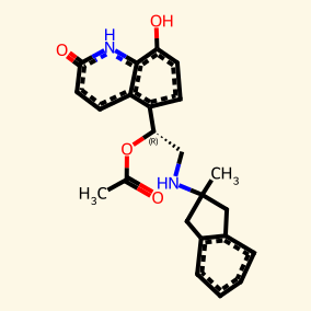 CC(=O)O[C@@H](CNC1(C)Cc2ccccc2C1)c1ccc(O)c2[nH]c(=O)ccc12